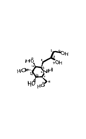 OCC(O)C[C@H]1N[C@@H](CO)[C@@H](O)[C@H](O)[C@H]1O